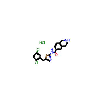 Cl.O=C(Nc1ncc(Cc2cc(Cl)ccc2Cl)s1)c1ccc2c(c1)CCNC2